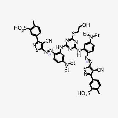 CCN(CC)c1ccc(/N=N/c2snc(-c3ccc(C)c(S(=O)(=O)O)c3)c2C#N)c(Nc2nc(Nc3cc(N(CC)CC)ccc3/N=N/c3snc(-c4ccc(C)c(S(=O)(=O)O)c4)c3C#N)nc(SCCO)n2)c1